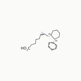 O=C(O)CCCC/C=C\C[C@@H]1CCCC[C@@H]1c1ccccc1